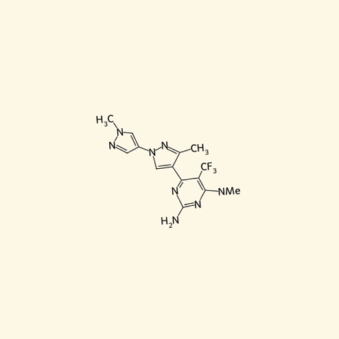 CNc1nc(N)nc(-c2cn(-c3cnn(C)c3)nc2C)c1C(F)(F)F